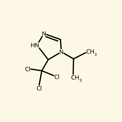 CC(C)N1C=NNC1C(Cl)(Cl)Cl